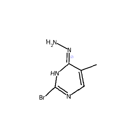 Cc1cnc(Br)[nH]/c1=N\N